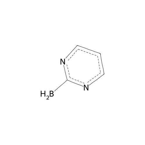 Bc1ncccn1